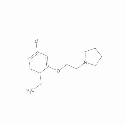 CCC1CC=C(Cl)C=C1OCCN1CCCC1